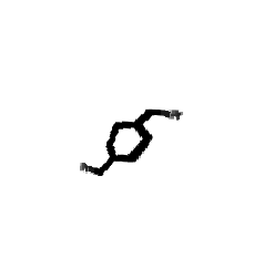 CC(C)CC1CCC(CC(C)C)CC1